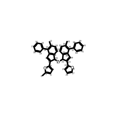 Cc1ccc(C2=Cc3c(ccc(C)c3-c3ccccc3)[CH]2[Zr][CH]2C(c3ccco3)=Cc3c2ccc(C)c3-c2ccccc2)o1